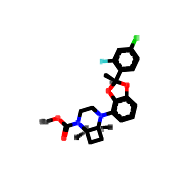 CC(C)(C)OC(=O)N1CCN(c2cccc3c2O[C@](C)(c2ccc(Cl)cc2F)O3)[C@H]2CC[C@H]21